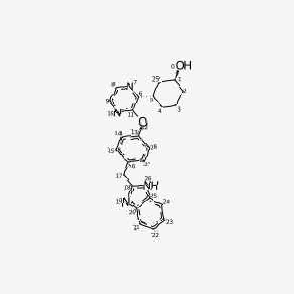 O[C@H]1CCC[C@H](c2nccnc2Oc2ccc(Cc3nc4ccccc4[nH]3)cc2)C1